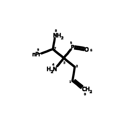 C=CCC(N)(P=O)C(N)CCC